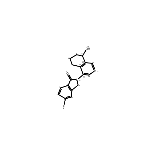 O=C1c2ccc(Cl)cc2CN1c1cncc2c1CCCC2O